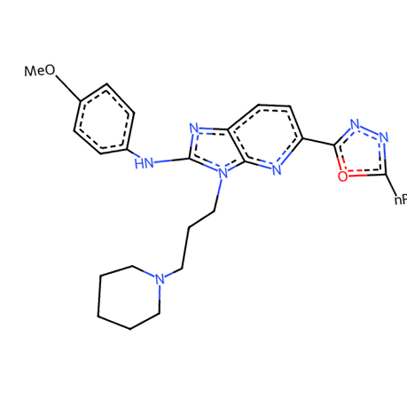 CCCc1nnc(-c2ccc3nc(Nc4ccc(OC)cc4)n(CCCN4CCCCC4)c3n2)o1